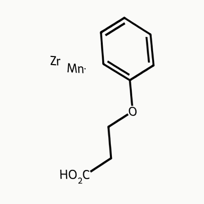 O=C(O)CCOc1ccccc1.[Mn].[Zr]